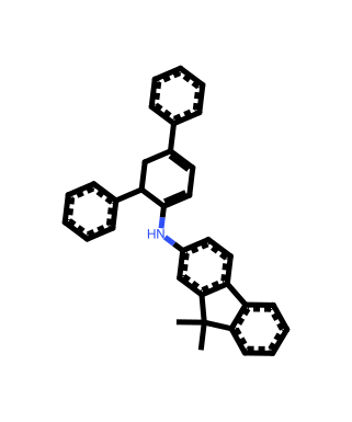 CC1(C)c2ccccc2-c2ccc(NC3=CC=C(c4ccccc4)CC3c3ccccc3)cc21